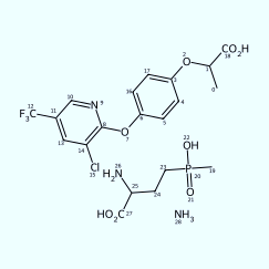 CC(Oc1ccc(Oc2ncc(C(F)(F)F)cc2Cl)cc1)C(=O)O.CP(=O)(O)CCC(N)C(=O)O.N